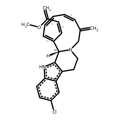 C=C1\C=C/C=C\C=C(/C=C\C(=C)OC)[C@H]2c3[nH]c4ccc(Cl)cc4c3CCN2C1